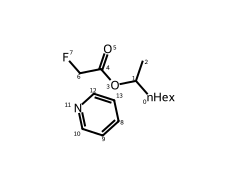 CCCCCCC(C)OC(=O)CF.c1ccncc1